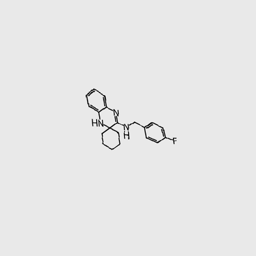 Fc1ccc(CNC2=Nc3ccccc3NC23CCCCC3)cc1